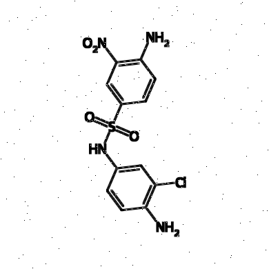 Nc1ccc(NS(=O)(=O)c2ccc(N)c([N+](=O)[O-])c2)cc1Cl